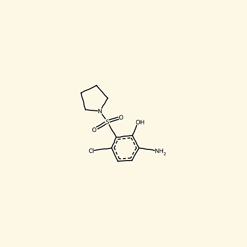 Nc1ccc(Cl)c(S(=O)(=O)N2CCCC2)c1O